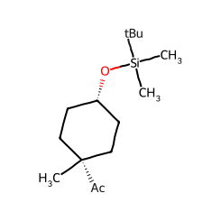 CC(=O)[C@]1(C)CC[C@H](O[Si](C)(C)C(C)(C)C)CC1